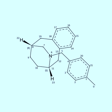 Cc1ccc(CN2C[C@@H]3CC[C@H]2Cc2ccccc2C3)cc1